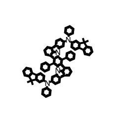 CC1(C)c2ccccc2-c2ccc(N(c3ccccc3)c3ccc4c5cccc6c7c(-c8ccccc8)c8c(c(-c9ccccc9)c7n(c4c3)c56)c3cccc4c5ccc(N(c6ccccc6)c6ccc7c(c6)C(C)(C)c6ccccc6-7)cc5n8c43)cc21